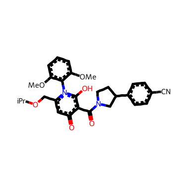 COc1cccc(OC)c1-n1c(COC(C)C)cc(=O)c(C(=O)N2CCC(c3ccc(C#N)cc3)C2)c1O